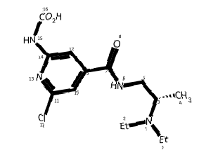 CCN(CC)[C@@H](C)CNC(=O)c1cc(Cl)nc(NC(=O)O)c1